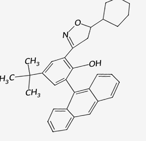 CC(C)(C)c1cc(C2=NOC(C3CCCCC3)C2)c(O)c(-c2c3ccccc3cc3ccccc23)c1